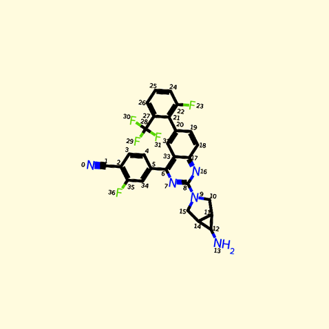 N#Cc1ccc(-c2nc(N3CC4C(N)C4C3)nc3ccc(-c4c(F)cccc4C(F)(F)F)cc23)cc1F